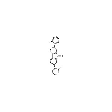 Cc1ccccc1-c1ccc2c(c1)C(=O)c1cc(-c3ccccc3C)ccc1-2